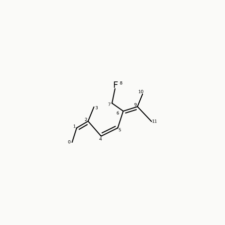 C/C=C(C)\C=C/C(CF)=C(C)C